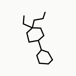 CCCC1(CC)CCC(C2CCCCC2)CC1